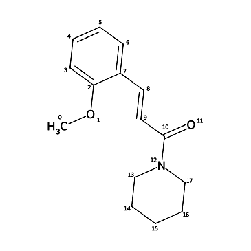 COc1ccccc1/C=C/C(=O)N1CCCCC1